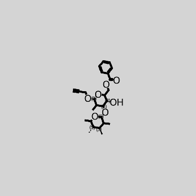 C#CCO[C@@H]1OC(COC(=O)c2ccccc2)[C@H](O)[C@H](O[C@@H]2OC(C)[C@@H](C)[C@H](C)C2C)C1C